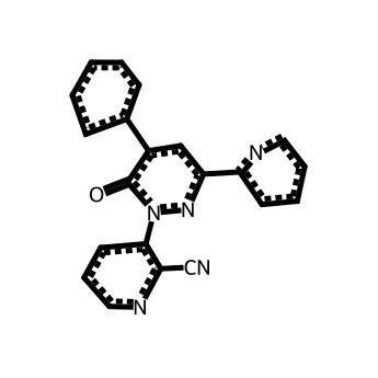 N#Cc1ncccc1-n1nc(-c2ccccn2)cc(-c2ccccc2)c1=O